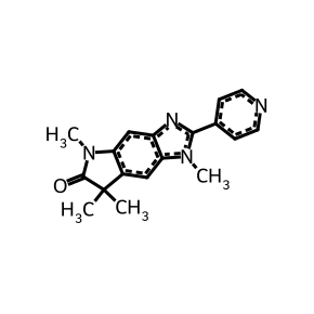 CN1C(=O)C(C)(C)c2cc3c(cc21)nc(-c1ccncc1)n3C